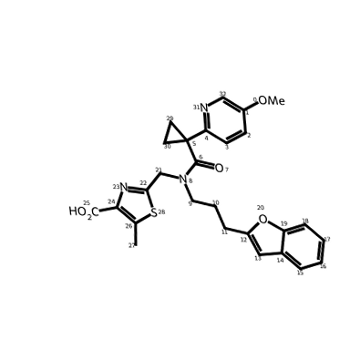 COc1ccc(C2(C(=O)N(CCCc3cc4ccccc4o3)Cc3nc(C(=O)O)c(C)s3)CC2)nc1